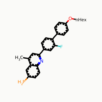 CCCCCCOc1ccc(-c2ccc(-c3cc(C)c4cc(P)ccc4n3)cc2F)cc1